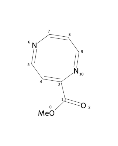 COC(=O)C1=CC=NC=CC=N1